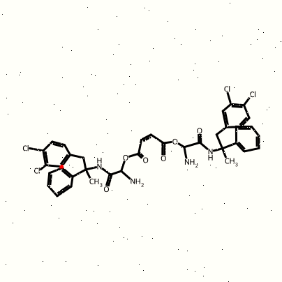 CC(Cc1ccc(Cl)c(Cl)c1)(NC(=O)C(N)OC(=O)/C=C\C(=O)OC(N)C(=O)NC(C)(Cc1ccc(Cl)c(Cl)c1)c1ccccc1)c1ccccc1